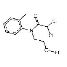 CCOCCN(C(=O)C(Cl)Cl)c1ccccc1C